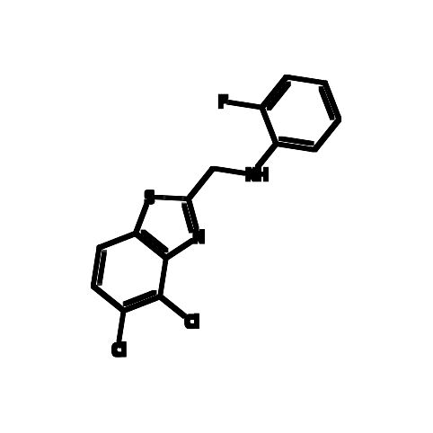 Fc1ccccc1NCc1nc2c(Cl)c(Cl)ccc2s1